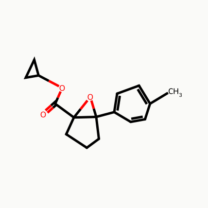 Cc1ccc(C23CCCC2(C(=O)OC2CC2)O3)cc1